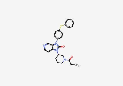 C=CC(=O)N1CCCC(n2c(=O)n(-c3ccc(Sc4ccccc4)cc3)c3cnccc32)C1